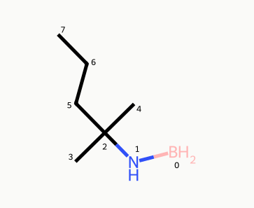 BNC(C)(C)CCC